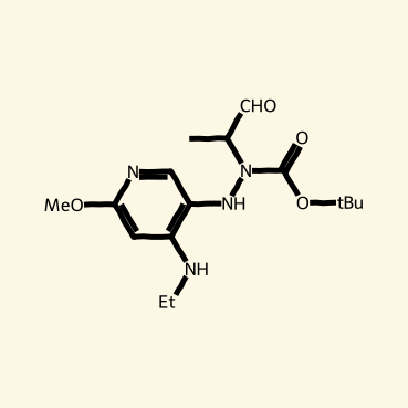 CCNc1cc(OC)ncc1NN(C(=O)OC(C)(C)C)C(C)C=O